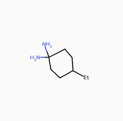 CCC1CCC(N)(N)CC1